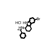 C[C@@H](N[C@@H]1CCCc2c1[nH]c1ccc(Br)cc21)c1ccccc1.Cl